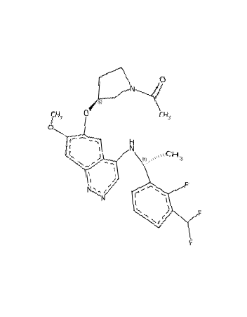 COc1cc2nncc(N[C@H](C)c3cccc(C(F)F)c3F)c2cc1O[C@H]1CCN(C(C)=O)C1